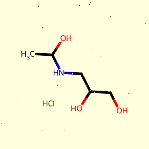 CC(O)NCC(O)CO.Cl